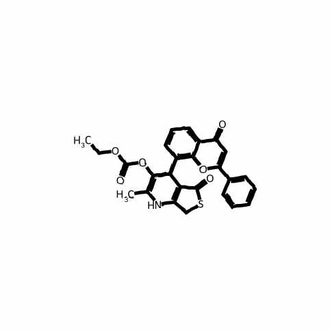 CCOC(=O)OC1=C(C)NC2=C(C(=O)SC2)C1c1cccc2c(=O)cc(-c3ccccc3)oc12